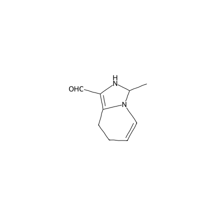 CC1NC(C=O)=C2CCC=CN21